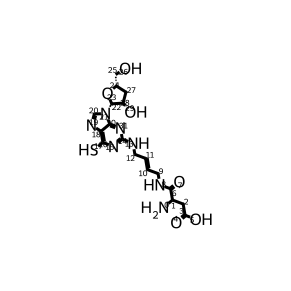 NC(CC(=O)O)C(=O)NC/C=C/CNc1nc(S)c2ncn([C@@H]3O[C@H](CO)CC3O)c2n1